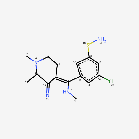 CN/C(=C1/CCN(C)C(C)C1=N)c1cc(Cl)cc(SN)c1